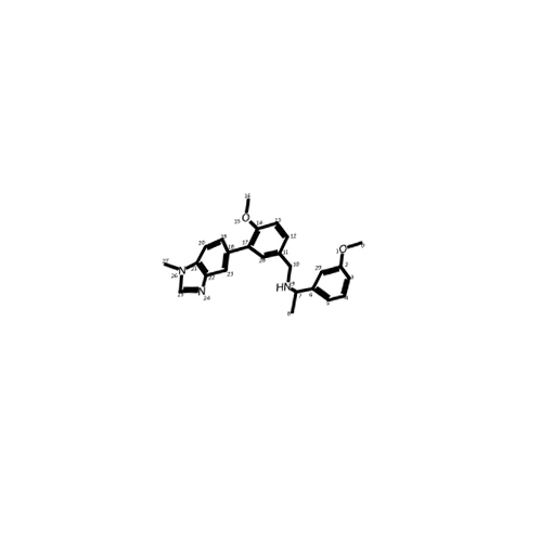 COc1cccc(C(C)NCc2ccc(OC)c(-c3ccc4c(c3)ncn4C)c2)c1